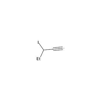 [C]#CC(I)CC